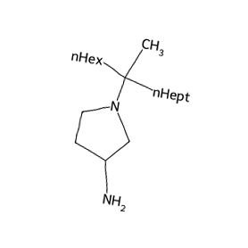 CCCCCCCC(C)(CCCCCC)N1CCC(N)C1